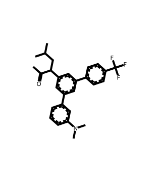 CC(=O)C(CC(C)C)c1cc(-c2ccc(C(F)(F)F)cc2)cc(-c2cccc(N(C)C)c2)c1